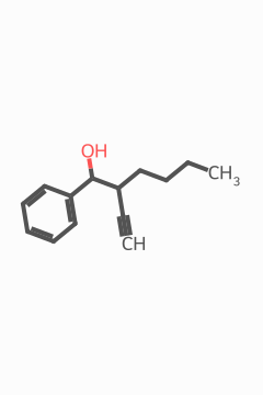 C#CC(CCCC)C(O)c1ccccc1